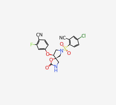 N#Cc1ccc(O[C@H]2CN(S(=O)(=O)c3ccc(Cl)cc3C#N)C[C@]23CNC(=O)O3)cc1F